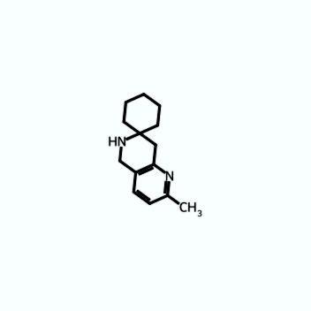 Cc1ccc2c(n1)CC1(CCCCC1)NC2